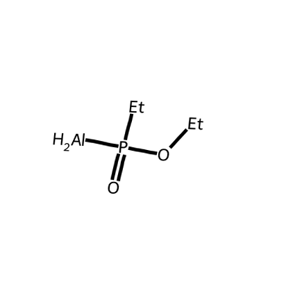 CCO[P](=O)([AlH2])CC